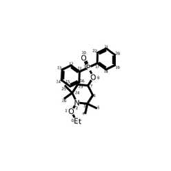 CCON1C(C)(C)CC(OP(=O)(c2ccccc2)c2ccccc2)CC1(C)C